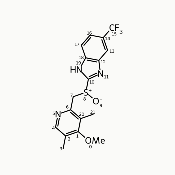 COc1c(C)cnc(C[S+]([O-])c2nc3cc(C(F)(F)F)ccc3[nH]2)c1C